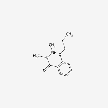 CCCOc1ccccc1C(=O)N(C)NC